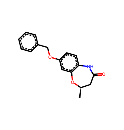 C[C@@H]1CC(=O)Nc2ccc(OCc3ccccc3)cc2O1